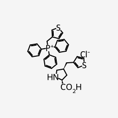 O=C(O)[C@@H]1C[C@H](Cc2ccsc2)CN1.[Cl-].c1ccc([P+](Cc2ccsc2)(c2ccccc2)c2ccccc2)cc1